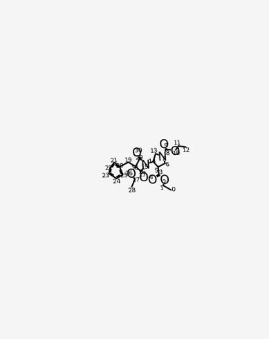 CCOC(=O)C1CN(C(=O)OCC)CC1N1C(=O)C(Cc2ccccc2)(OCC)C1=O